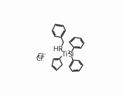 C1=CC[C]([Ti+2]([PH]Cc2ccccc2)=[Si](c2ccccc2)c2ccccc2)=C1.[Cl-].[Cl-]